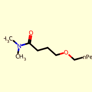 CCCCCCOCCCC(=O)N(C)C